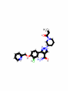 C=CC(=O)N1CCC[C@@H](n2cc(C(N)=O)c(-c3ccc(OCc4ccccn4)c(Cl)c3)n2)C1